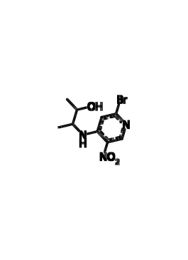 CC(O)C(C)Nc1cc(Br)ncc1[N+](=O)[O-]